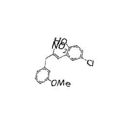 COc1cccc(CC(=Cc2cc(Cl)ccc2O)[N+](=O)[O-])c1